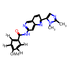 [2H]c1c([2H])c(C(=O)Nc2cc3nc(-c4cnc(C)n4C)ccc3cn2)c([2H])c([2H])c1OC